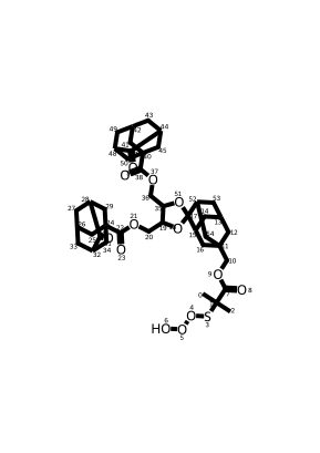 CC(C)(SOOO)C(=O)OCC12CC3CC(C1)C1(OC(COC(=O)C45CC6CC(C4)C(=O)C(C6)C5)C(COC(=O)C45CC6CC(C4)C(=O)C(C6)C5)O1)C(C3)C2